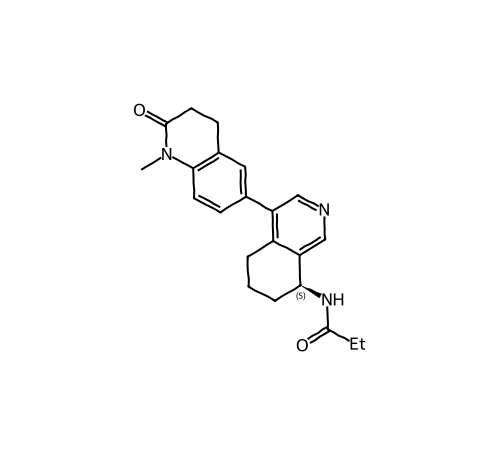 CCC(=O)N[C@H]1CCCc2c(-c3ccc4c(c3)CCC(=O)N4C)cncc21